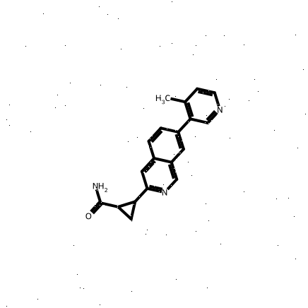 Cc1ccncc1-c1ccc2cc(C3CC3C(N)=O)ncc2c1